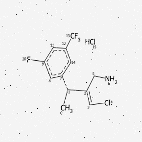 CC(C(=CCl)CN)c1cc(F)cc(C(F)(F)F)c1.Cl